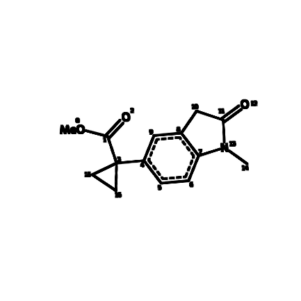 COC(=O)C1(c2ccc3c(c2)CC(=O)N3C)CC1